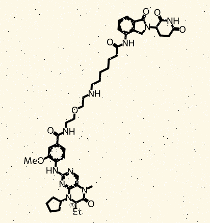 CC[C@@H]1C(=O)N(C)c2cnc(Nc3ccc(C(=O)NCCOCCNCCCCCCC(=O)Nc4cccc5c4CN(C4CCC(=O)NC4=O)C5=O)cc3OC)nc2N1C1CCCC1